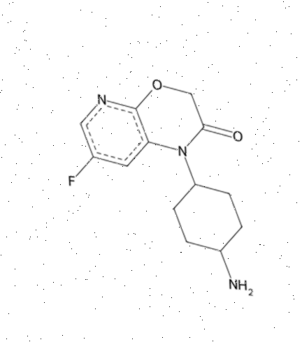 NC1CCC(N2C(=O)COc3ncc(F)cc32)CC1